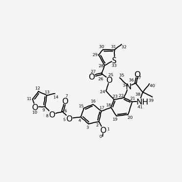 COc1cc(OC(=O)Oc2occc2C)ccc1-c1ccc2c(c1COC(=O)c1ccc(C)s1)N(C)C(=O)C(C)(C)N2